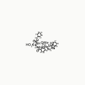 COCCNC(=S)N(Cc1ccc(C(=O)NC[C@H](NC(=O)OCc2ccccc2)C(=O)O)cc1)Cc1nc2ccccc2[nH]1